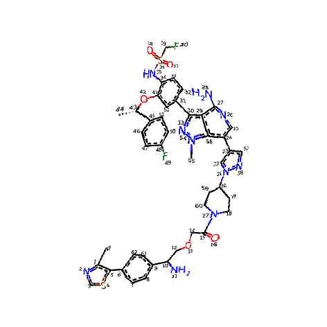 Cc1ncsc1-c1ccc(C(N)COCC(=O)N2CCC(n3cc(-c4cnc(N)c5c(-c6ccc(NS(=O)(=O)CF)c(O[C@@H](C)c7ccc(F)cc7)c6)nn(C)c45)cn3)CC2)cc1